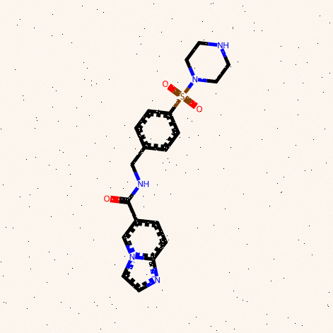 O=C(NCc1ccc(S(=O)(=O)N2CCNCC2)cc1)c1ccc2nccn2c1